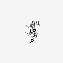 C[C@@H]1CN(c2c(F)cc3c(=O)c(C(=O)NCc4ccc(CI)cc4CI)cn4c3c2OC[C@@H]4C)C[C@H](C)N1CC(=O)O